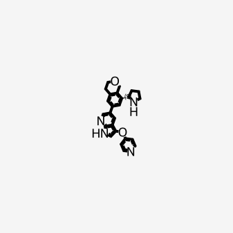 c1cc(Oc2c[nH]c3ncc(-c4cc5c(c([C@@H]6CCCN6)c4)COCC5)cc23)ccn1